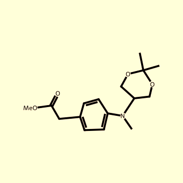 COC(=O)Cc1ccc(N(C)C2COC(C)(C)OC2)cc1